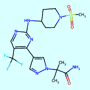 CC(C)(C(N)=O)n1cc(-c2nc(NC3CCN(S(C)(=O)=O)CC3)ncc2C(F)(F)F)cn1